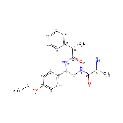 CCCC(C)COc1ccc([C@@H](CNC(=O)[C@@H](C)N)NC(=O)[C@@H](C)c2ccccc2)cc1